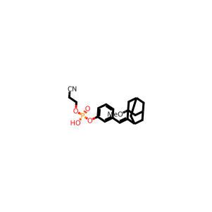 COC12CC3CC(CC(C3)C1=Cc1cccc(OP(=O)(O)OCCC#N)c1)C2